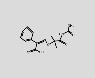 CC(C)(ON=C(C(=O)O)c1ccccc1)C(=O)NC(N)=O